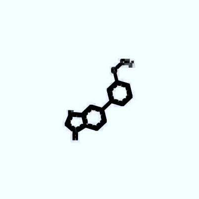 [CH2]Oc1cccc(-c2ccc3[nH]cnc3c2)c1